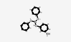 [KH].c1ccc(OB(Oc2ccccc2)Oc2ccccc2)cc1